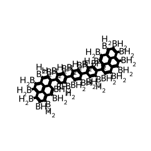 Bc1c(B)c(-c2c(B)c(B)c(-c3c(B)c(B)c4c(B)c(B)c5c(B)c(B)c(B)c6c(B)c(B)c3c4c56)c(B)c2B)c(B)c(B)c1-c1c(B)c(B)c(-c2c(B)c(B)c3c(B)c(B)c4c(B)c(B)c(B)c5c(B)c(B)c2c3c45)c(B)c1B